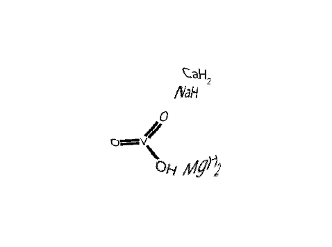 [CaH2].[MgH2].[NaH].[O]=[V](=[O])[OH]